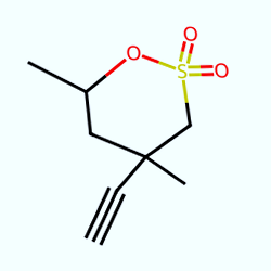 C#CC1(C)CC(C)OS(=O)(=O)C1